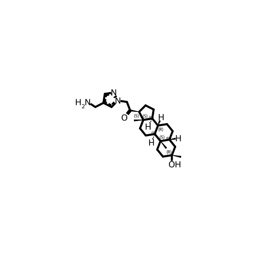 C[C@@]1(O)CC[C@@]2(C)[C@H](CC[C@@H]3[C@@H]2CC[C@]2(C)[C@@H](C(=O)Cn4cc(CN)cn4)CC[C@@H]32)C1